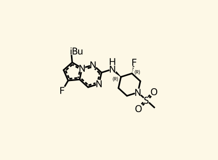 CCC(C)c1cc(F)c2cnc(N[C@@H]3CCN(S(C)(=O)=O)C[C@H]3F)nn12